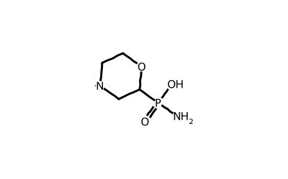 NP(=O)(O)C1C[N]CCO1